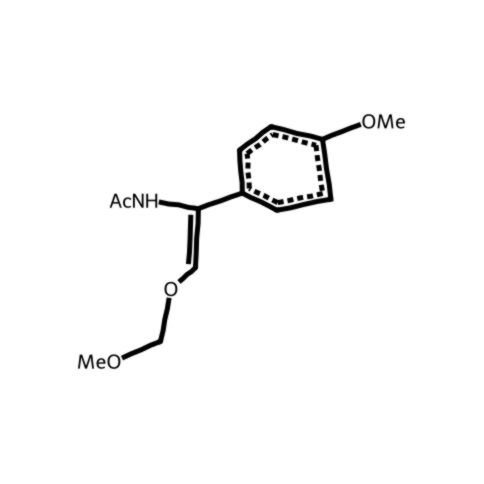 COCOC=C(NC(C)=O)c1ccc(OC)cc1